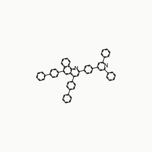 c1ccc(-c2ccc(-c3cc4c(-c5ccc(-c6ccccc6)cc5)cc(-c5ccc(-c6cc(-c7ccccc7)nc(-c7ccccc7)c6)cc5)nc4c4ccccc34)cc2)cc1